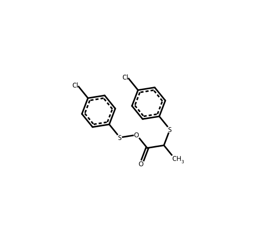 CC(Sc1ccc(Cl)cc1)C(=O)OSc1ccc(Cl)cc1